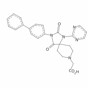 O=C(O)CN1CCC2(CC1)C(=O)N(c1ccc(-c3ccccc3)cc1)C(=O)N2c1ncccn1